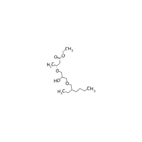 CCCCC(CC)COCC(O)COC(C)CC(=O)OCC